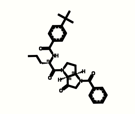 CCC[C@H](NC(=O)c1ccc(C(C)(C)C)cc1)C(=O)N1CC[C@@H]2[C@H]1C(=O)CN2C(=O)c1ccccc1